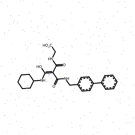 O=C(O)CNC(=O)/C(C(=O)NCc1ccc(-c2ccccc2)cc1)=C(\O)NC1CCCCC1